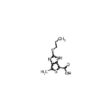 CCCSc1nc2c(C)sc(C(=O)O)c2[nH]1